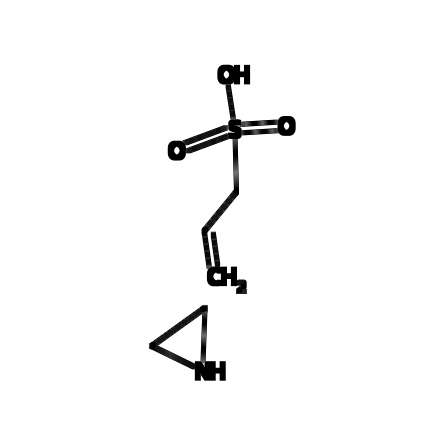 C1CN1.C=CCS(=O)(=O)O